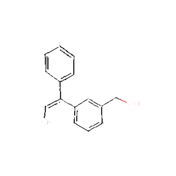 C/C=C(/c1ccccc1)c1cccc(CO)c1